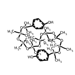 C[Si](C)(O[Si](C)(C)O[Si](C)(C)O[Si](C)(C)O[Si](C)(C)c1ccc(O)cc1)O[Si](C)(C)O[Si](C)(C)O[Si](C)(C)O[Si](C)(C)c1ccc(O)cc1